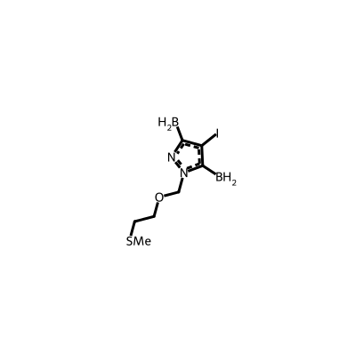 Bc1nn(COCCSC)c(B)c1I